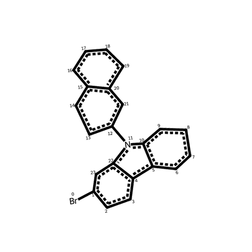 Brc1ccc2c3ccccc3n(-c3ccc4ccccc4c3)c2c1